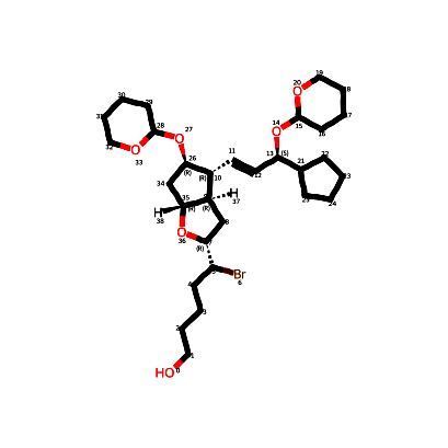 OCCCCC(Br)[C@H]1C[C@@H]2[C@@H](C=C[C@@H](OC3CCCCO3)C3CCCC3)[C@H](OC3CCCCO3)C[C@H]2O1